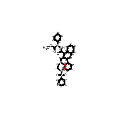 COC(=O)N(NC(=O)c1c(CN2CCN(S(=O)(=O)c3cccnc3)CC2)c(-c2ccccc2)nc2ccccc12)c1ccccc1